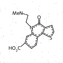 CNCCn1c(=O)c2ccsc2c2ccc(C(=O)O)cc21